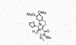 COc1cc2c(cc1OC)N1C(=C(C(=O)N(C)C(C)(C)C)N(C)C1c1cccs1)CC2